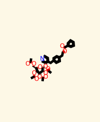 CC(=O)OC[C@H]1O[C@@H](Oc2cnccc2Cc2ccc(CCOC(=O)c3ccccc3)cc2)[C@H](OC(C)=O)[C@@H](OC(C)=O)[C@@H]1OC(C)=O